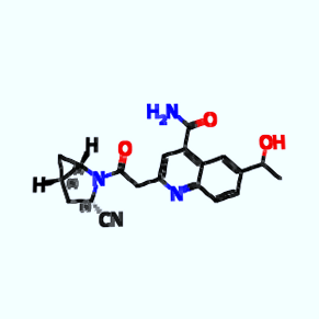 CC(O)c1ccc2nc(CC(=O)N3[C@H](C#N)C[C@@H]4C[C@@H]43)cc(C(N)=O)c2c1